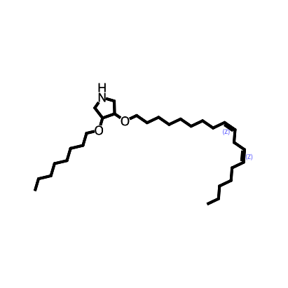 CCCCC/C=C\C/C=C\CCCCCCCCOC1CNCC1OCCCCCCCC